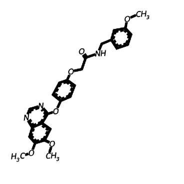 COc1cccc(CNC(=O)COc2ccc(Oc3ncnc4cc(OC)c(OC)cc34)cc2)c1